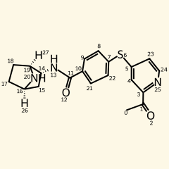 CC(=O)c1cc(Sc2ccc(C(=O)N[C@@H]3C[C@H]4CC[C@@H]3N4)cc2)ccn1